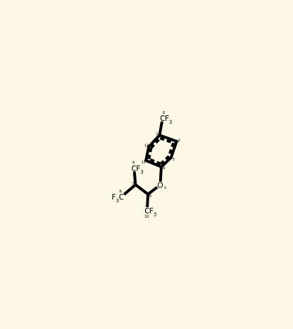 FC(F)(F)c1ccc(OC(C(C(F)(F)F)C(F)(F)F)C(F)(F)F)cc1